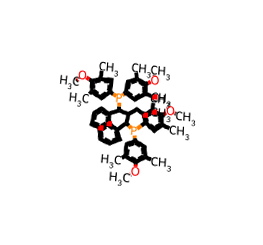 CCCC(C(c1ccccc1)P(c1cc(C)c(OC)c(C)c1)c1cc(C)c(OC)c(C)c1)C(c1ccccc1)P(c1cc(C)c(OC)c(C)c1)c1cc(C)c(OC)c(C)c1